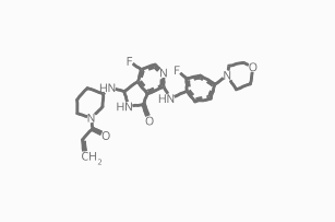 C=CC(=O)N1CCCC(NC2NC(=O)c3c(Nc4ccc(N5CCOCC5)cc4F)ncc(F)c32)C1